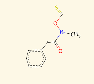 CN(OC=S)C(=O)[CH]c1ccccc1